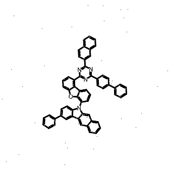 c1ccc(-c2ccc(-c3nc(-c4ccc5ccccc5c4)nc(-c4cccc5oc6c(-n7c8ccc(-c9ccccc9)cc8c8cc9ccccc9cc87)cccc6c45)n3)cc2)cc1